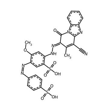 COc1cc(N/N=C2/C(=O)n3c(nc4ccccc43)C(C#N)=C2C)c(S(=O)(=O)O)cc1/N=N\c1ccc(S(=O)(=O)O)cc1